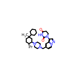 CC(C)C1CCC(C)(C2CCCCC2)CC1N1CCN(Cc2ccn3ncc(N4CCC(=O)NC4=O)c3c2)CC1